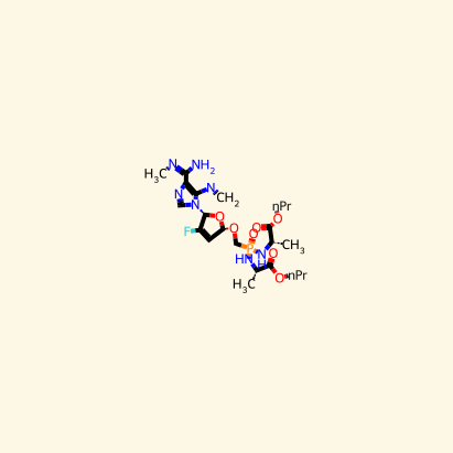 C=Nc1c(/C(N)=N\C)ncn1[C@@H]1O[C@H](OCP(=O)(N[C@@H](C)C(=O)OCCC)N[C@@H](C)C(=O)OCCC)C=C1F